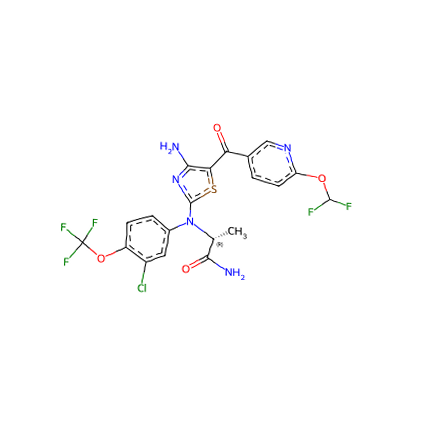 C[C@H](C(N)=O)N(c1ccc(OC(F)(F)F)c(Cl)c1)c1nc(N)c(C(=O)c2ccc(OC(F)F)nc2)s1